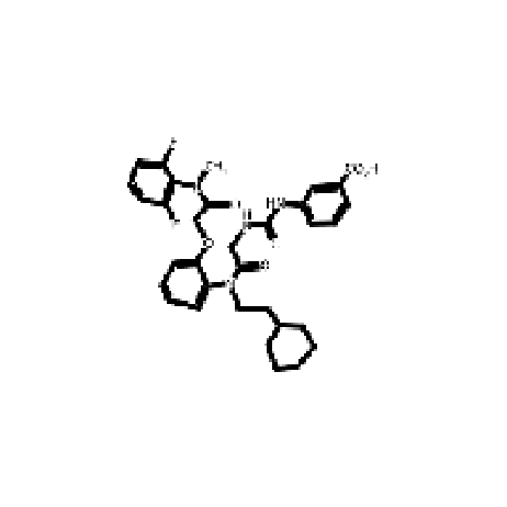 CN(C(=O)COc1ccccc1N(CCC1CCCCC1)C(=O)CNC(=O)Nc1cccc(C(=O)O)c1)c1c(F)cccc1F